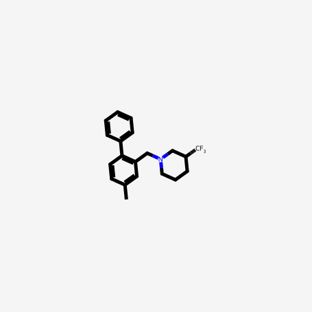 Cc1ccc(-c2ccccc2)c(CN2CCCC(C(F)(F)F)C2)c1